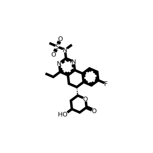 CCc1nc(N(C)S(C)(=O)=O)nc2c1C[C@@H](C1CC(O)CC(=O)O1)c1cc(F)ccc1-2